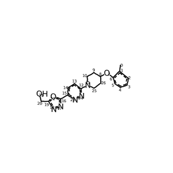 Cc1ccccc1OC1CCN(c2ccc(-c3nnc(CO)o3)nn2)CC1